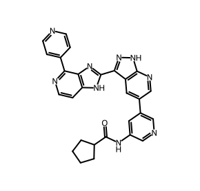 O=C(Nc1cncc(-c2cnc3[nH]nc(-c4nc5c(-c6ccncc6)nccc5[nH]4)c3c2)c1)C1CCCC1